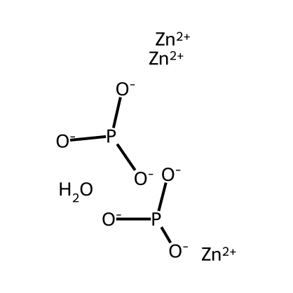 O.[O-]P([O-])[O-].[O-]P([O-])[O-].[Zn+2].[Zn+2].[Zn+2]